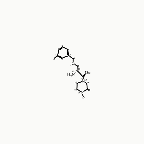 Cc1cccc(COC[C@@H](N)C(=O)N2CCN(C)CC2)c1